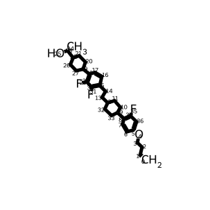 C=CCCOc1ccc(C2CCC(CCc3ccc(C4CCC(C(C)O)CC4)c(F)c3F)CC2)c(F)c1